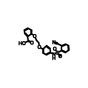 N#Cc1ccccc1S(=O)(=O)Nc1ccc(OCCOc2ccccc2C(=O)O)cc1